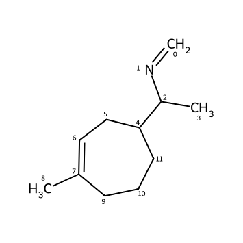 C=NC(C)C1CC=C(C)CCC1